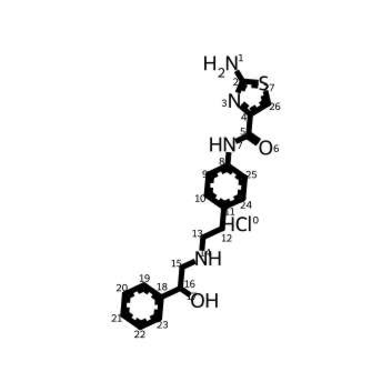 Cl.Nc1nc(C(=O)Nc2ccc(CCNCC(O)c3ccccc3)cc2)cs1